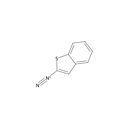 N#[N+]c1cc2ccccc2s1